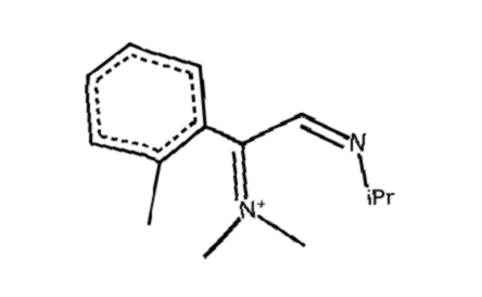 Cc1ccccc1C(/C=N\C(C)C)=[N+](C)C